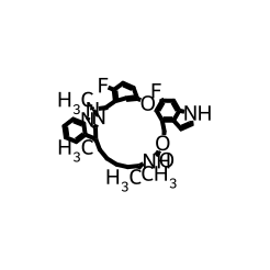 Cn1nc2nc1-c1cc(ccc1F)Oc1c(F)cc3[nH]ccc3c1COC(=O)NC(C)(C)CCCCC2(C)c1ccccc1